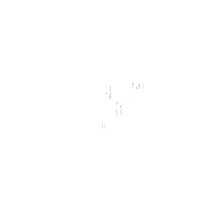 CC(=N)NNc1ccccc1.I